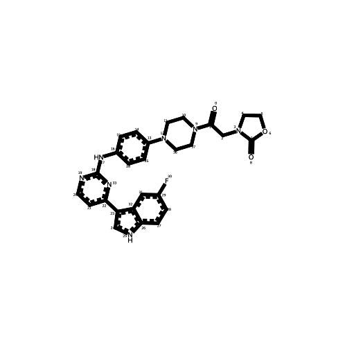 O=C(CN1CCOC1=O)N1CCN(c2ccc(Nc3nccc(-c4c[nH]c5ccc(F)cc45)n3)cc2)CC1